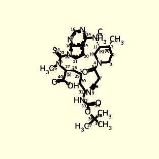 C[C@@H]1CCN(C(=O)CC#N)C[C@@H]1N(C)c1ncnc2c1ccn2C(=S)N(C)[C@@H](CCCCNC(=O)OC(C)(C)C)C(=O)O